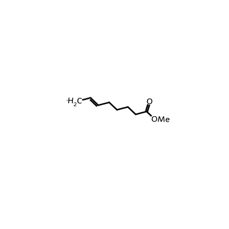 [CH2]/C=C/CCCCC(=O)OC